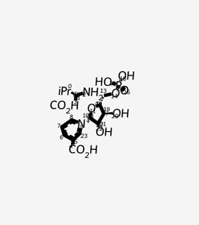 CC(C)[C@@H](N)C(=O)O.O=C(O)c1ccc[n+]([C@@H]2O[C@H](COP(=O)(O)O)[C@@H](O)[C@H]2O)c1